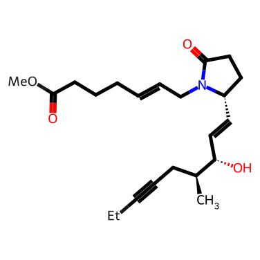 CCC#CC[C@H](C)[C@@H](O)C=C[C@H]1CCC(=O)N1CC=CCCCC(=O)OC